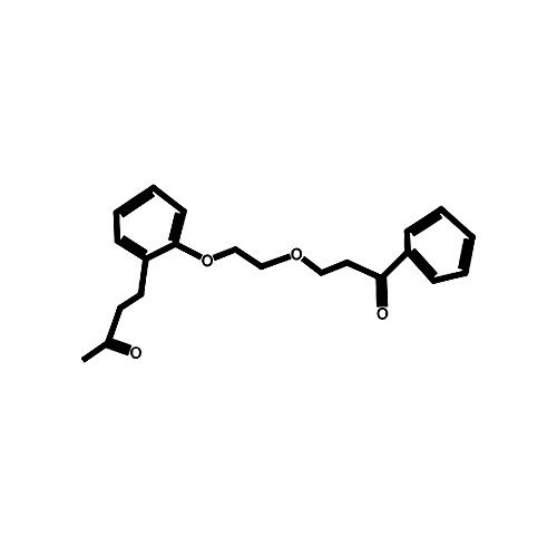 CC(=O)CCc1ccccc1OCCOCCC(=O)c1ccccc1